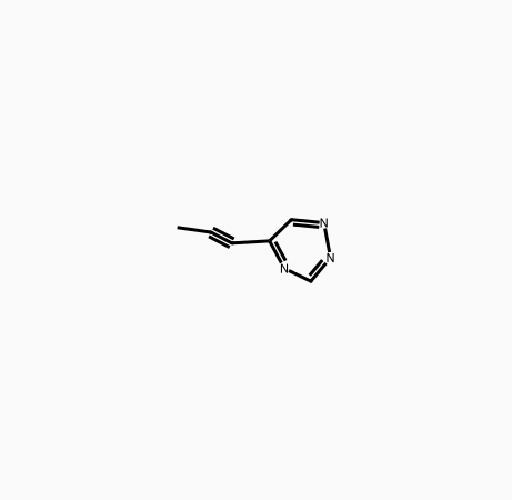 CC#Cc1cnncn1